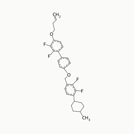 C=CCCOc1ccc(-c2ccc(OCc3ccc(C4CCC(C)CC4)c(F)c3F)cc2)c(F)c1F